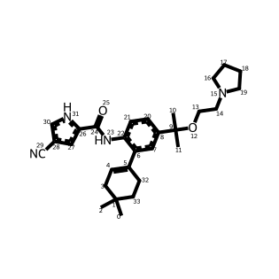 CC1(C)CC=C(c2cc(C(C)(C)OCCN3CCCC3)ccc2NC(=O)c2cc(C#N)c[nH]2)CC1